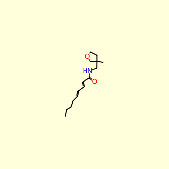 CCCC/C=C/C=C/C(=O)NCC1(C)CCOC1